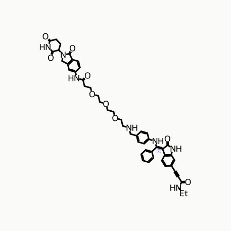 CCNC(=O)C#Cc1ccc2c(c1)NC(=O)/C2=C(\Nc1ccc(CNCCOCCOCCOCCC(=O)Nc2ccc3c(c2)CN(C2CCC(=O)NC2=O)C3=O)cc1)c1ccccc1